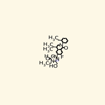 CCc1ccccc1-n1cc(C(C)C)c2cc(N(C)/N=C(/CO)N(C=O)CC)c(F)cc2c1=O